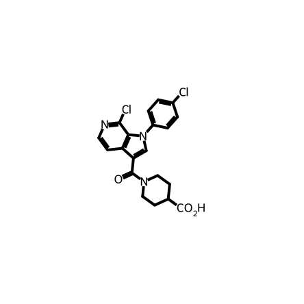 O=C(O)C1CCN(C(=O)c2cn(-c3ccc(Cl)cc3)c3c(Cl)nccc23)CC1